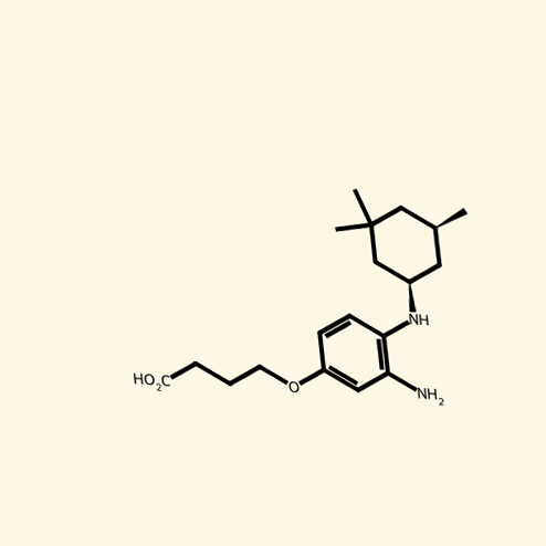 C[C@H]1C[C@@H](Nc2ccc(OCCCC(=O)O)cc2N)CC(C)(C)C1